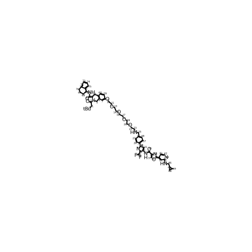 CC(C)(C)CC(=O)N1Cc2cc(OCCOCCOCCOCCOCCNCc3ccc(-n4cc(NC(=O)c5coc(-c6ccnc(NCC7CC7)c6)n5)c(C(F)F)n4)cc3)ccc2CC1C(=O)N[C@@H]1CCCc2ccccc21